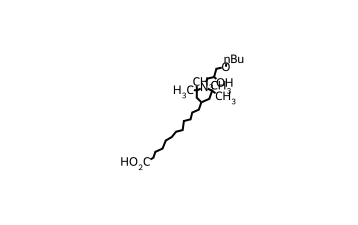 CCCCOCC(O)CN1C(C)(C)CC(CCCCCCCCCCCC(=O)O)CC1(C)C